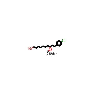 COCOC(CCCCCCCBr)CCc1ccc(Cl)cc1